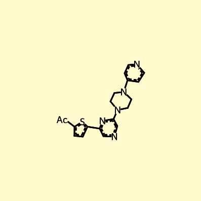 CC(=O)c1ccc(-c2cncc(N3CCN(c4ccncc4)CC3)n2)s1